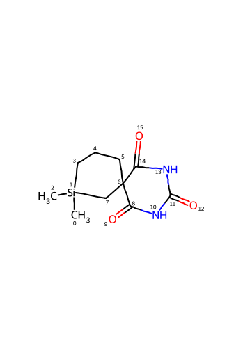 C[Si]1(C)CCCC2(C1)C(=O)NC(=O)NC2=O